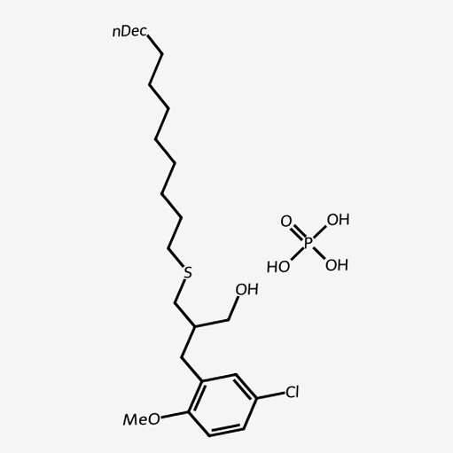 CCCCCCCCCCCCCCCCCCSCC(CO)Cc1cc(Cl)ccc1OC.O=P(O)(O)O